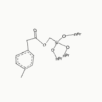 CCCO[Si](COC(=O)Cc1ccc(C)cc1)(OCCC)OCCC